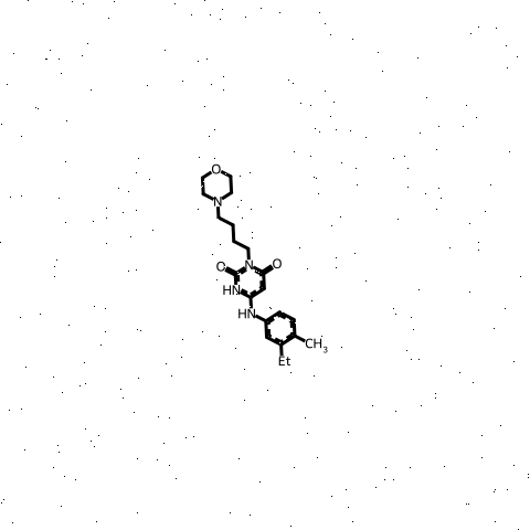 CCc1cc(Nc2cc(=O)n(CCCCN3CCOCC3)c(=O)[nH]2)ccc1C